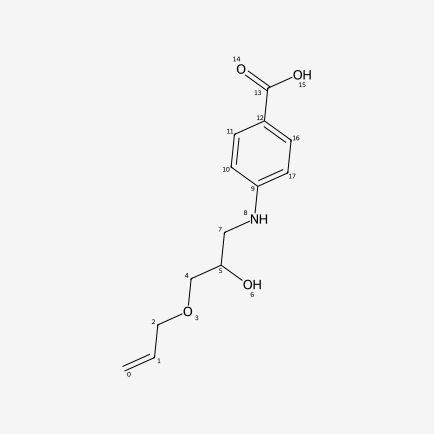 C=CCOCC(O)CNc1ccc(C(=O)O)cc1